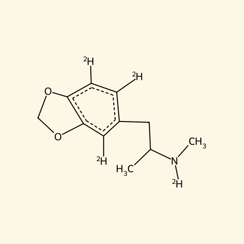 [2H]c1c([2H])c2c(c([2H])c1CC(C)N([2H])C)OCO2